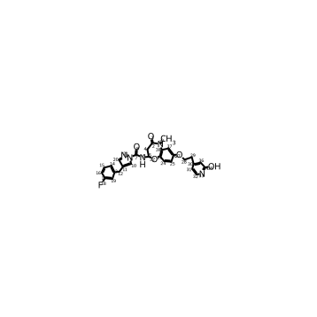 CN1C(=O)CC(NC(=O)n2cc(Cc3cccc(F)c3)cn2)Oc2ccc(OCCc3ccnc(O)c3)cc21